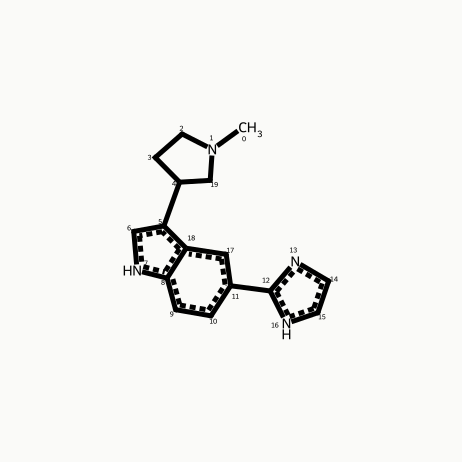 CN1CCC(c2c[nH]c3ccc(-c4ncc[nH]4)cc23)C1